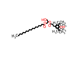 CCCCCCCCCCCCCCCCCC(=O)OCC(CO)OC(=O)CCc1cc(C(C)(C)C)c(O)c(C(C)(C)C)c1